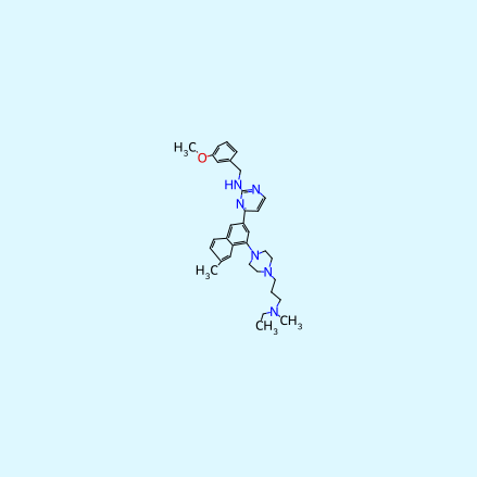 CCN(C)CCCN1CCN(c2cc(-c3ccnc(NCc4cccc(OC)c4)n3)cc3ccc(C)cc23)CC1